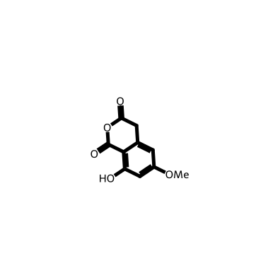 COc1cc(O)c2c(c1)CC(=O)OC2=O